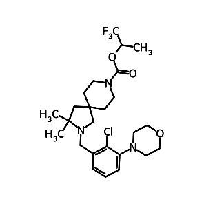 CC(OC(=O)N1CCC2(CC1)CN(Cc1cccc(N3CCOCC3)c1Cl)C(C)(C)C2)C(F)(F)F